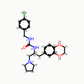 O=C(NCc1ccc(Br)cc1)N[C@@H](Cc1ccc2c(c1)OCCO2)CN1CCCC1